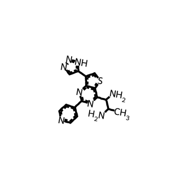 CC(N)C(N)c1nc(-c2ccncc2)nc2c(-c3cnn[nH]3)csc12